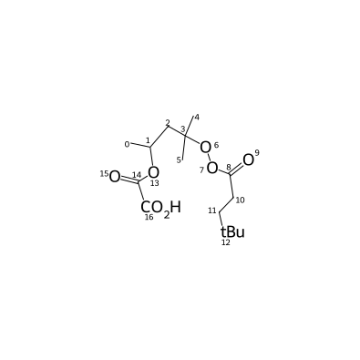 CC(CC(C)(C)OOC(=O)CCC(C)(C)C)OC(=O)C(=O)O